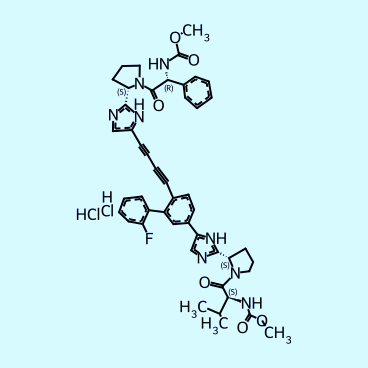 COC(=O)N[C@H](C(=O)N1CCC[C@H]1c1ncc(-c2ccc(C#CC#Cc3cnc([C@@H]4CCCN4C(=O)[C@H](NC(=O)OC)c4ccccc4)[nH]3)c(-c3ccccc3F)c2)[nH]1)C(C)C.Cl.Cl